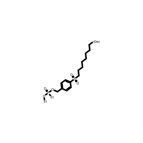 CCCCCCCCCCCCCCCCCCS(=O)(=O)c1ccc(COP(=O)(CC)OCC)cc1